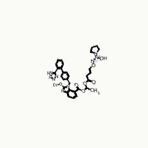 CCOc1nc2cccc(C(=O)OC(C)OC(=O)CCCO/N=[N+](\O)N3CCCC3)c2n1Cc1ccc(-c2ccccc2-c2nnn[nH]2)cc1